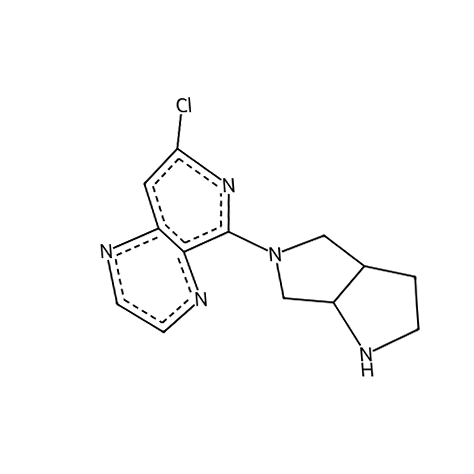 Clc1cc2nccnc2c(N2CC3CCNC3C2)n1